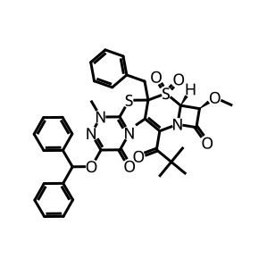 CO[C@H]1C(=O)N2C(C(=O)C(C)(C)C)=C(C)C(Cc3ccccc3)(Sc3nc(=O)c(OC(c4ccccc4)c4ccccc4)nn3C)S(=O)(=O)[C@H]12